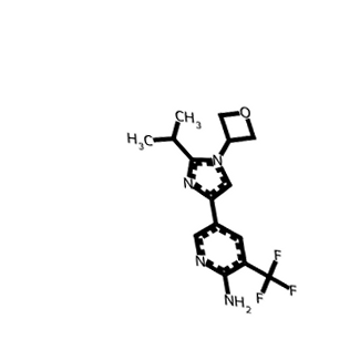 CC(C)c1nc(-c2cnc(N)c(C(F)(F)F)c2)cn1C1COC1